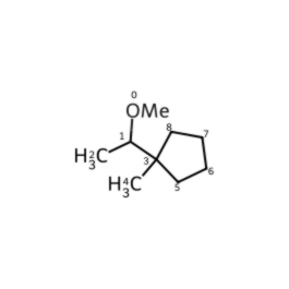 COC(C)C1(C)CCCC1